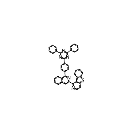 c1ccc(-c2nc(-c3ccccc3)nc(-c3ccc(-c4nc(-c5nccc6sc7ccccc7c56)cc5ccccc45)cc3)n2)cc1